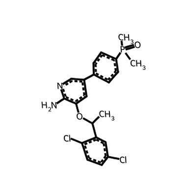 CC(Oc1cc(-c2ccc(P(C)(C)=O)cc2)cnc1N)c1cc(Cl)ccc1Cl